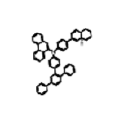 C1=C[C@@H]2C=C(c3ccc(N(c4ccc(-c5cc(-c6ccccc6)ccc5-c5ccccc5)cc4)c4cc5ccccc5c5ccccc45)cc3)C=CC2CC1